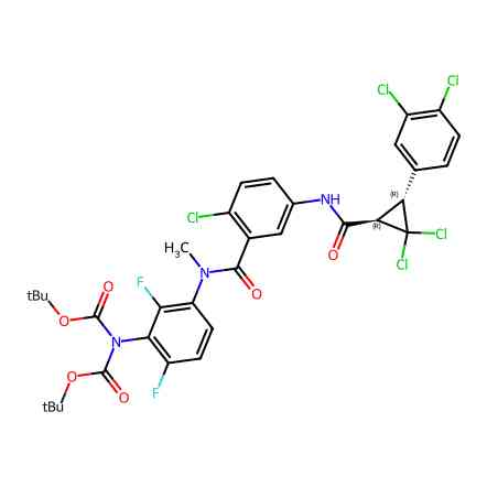 CN(C(=O)c1cc(NC(=O)[C@H]2[C@H](c3ccc(Cl)c(Cl)c3)C2(Cl)Cl)ccc1Cl)c1ccc(F)c(N(C(=O)OC(C)(C)C)C(=O)OC(C)(C)C)c1F